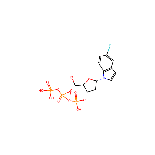 O=P(O)(O)OP(=O)(O)OP(=O)(O)O[C@H]1C[C@@H](n2ccc3cc(F)ccc32)O[C@@H]1CO